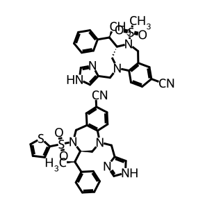 C[C@H](c1ccccc1)[C@@H]1CN(Cc2c[nH]cn2)c2ccc(C#N)cc2CN1S(=O)(=O)c1cccs1.C[C@H](c1ccccc1)[C@H]1CN(Cc2c[nH]cn2)c2ccc(C#N)cc2CN1S(C)(=O)=O